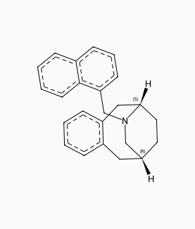 c1ccc2c(c1)C[C@H]1CC[C@@H](C2)N(Cc2cccc3ccccc23)C1